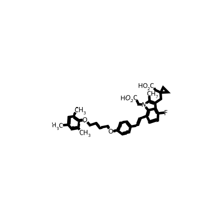 Cc1cc(C)c(OCCCCOc2ccc(C=Cc3ccc(F)c4c(CC5(CC(=O)O)CC5)c(C)n(CC(=O)O)c34)cc2)c(C)c1